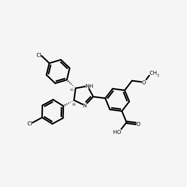 COCc1cc(C(=O)O)cc(C2=N[C@H](c3ccc(Cl)cc3)[C@H](c3ccc(Cl)cc3)N2)c1